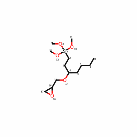 CCCCC(CC[Si](OC)(OC)OC)OCC1CO1